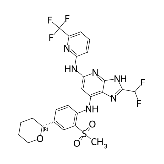 CS(=O)(=O)c1cc([C@H]2CCCCO2)ccc1Nc1cc(Nc2cccc(C(F)(F)F)n2)nc2[nH]c(C(F)F)nc12